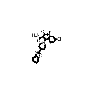 Cn1c(=O)c(C(N)=O)c(N2CCC(c3nc4ccccc4o3)CC2)c2ccc(Cl)cc21